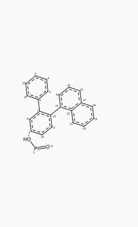 O=PO.c1ccc(-c2ccccc2-c2cccc3ccccc23)cc1